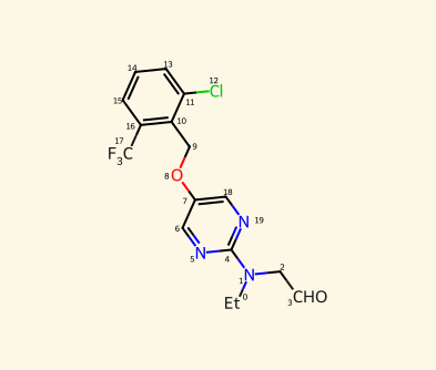 CCN(CC=O)c1ncc(OCc2c(Cl)cccc2C(F)(F)F)cn1